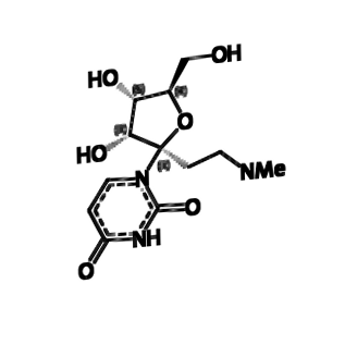 CNCC[C@@]1(n2ccc(=O)[nH]c2=O)O[C@H](CO)[C@@H](O)[C@H]1O